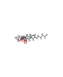 C=C.CCCCCCCCCCCC(=O)O.CCC[CH2][Sn][CH2]CCC